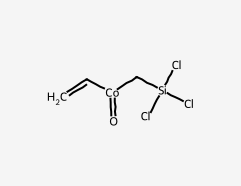 C=[CH][Co](=[O])[CH2][Si](Cl)(Cl)Cl